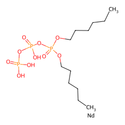 CCCCCCOP(=O)(OCCCCCC)OP(=O)(O)OP(=O)(O)O.[Nd]